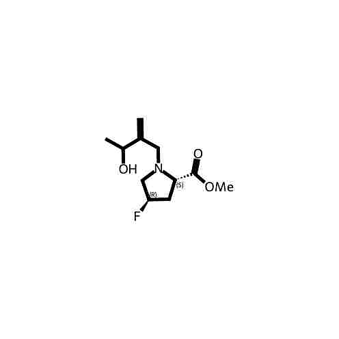 C=C(CN1C[C@H](F)C[C@H]1C(=O)OC)C(C)O